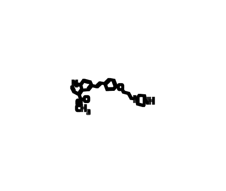 COC(=O)c1ccnc2ccc(/C=C/c3ccc(OCCCN4CCNCC4)cc3)cc12